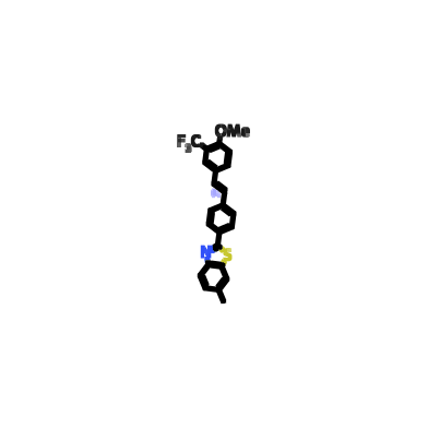 COc1ccc(/C=C/c2ccc(-c3nc4ccc(C)cc4s3)cc2)cc1C(F)(F)F